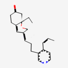 CC/C=C\c1ccncc1CC/C=C1/C=C2CCC(=O)C[C@]23CC[C@@]1([C@@H](C)CCC)O3